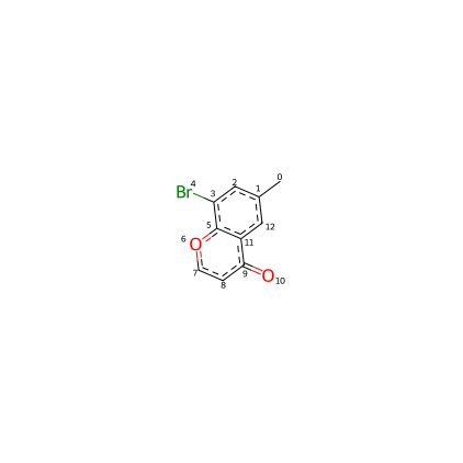 Cc1cc(Br)c2occc(=O)c2c1